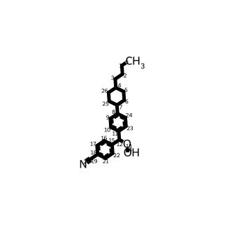 CCCCC1CCC(c2ccc(C(OO)c3ccc(C#N)cc3)cc2)CC1